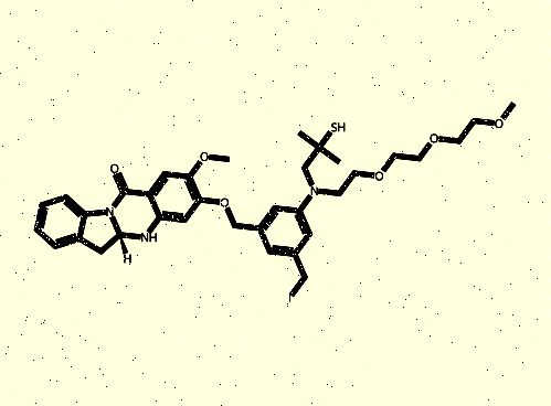 COCCOCCOCCN(CC(C)(C)S)c1cc(CI)cc(COc2cc3c(cc2OC)C(=O)N2c4ccccc4C[C@H]2N3)c1